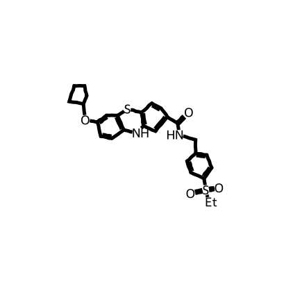 CCS(=O)(=O)c1ccc(CNC(=O)c2ccc3c(c2)Nc2ccc(OC4CCCC4)cc2S3)cc1